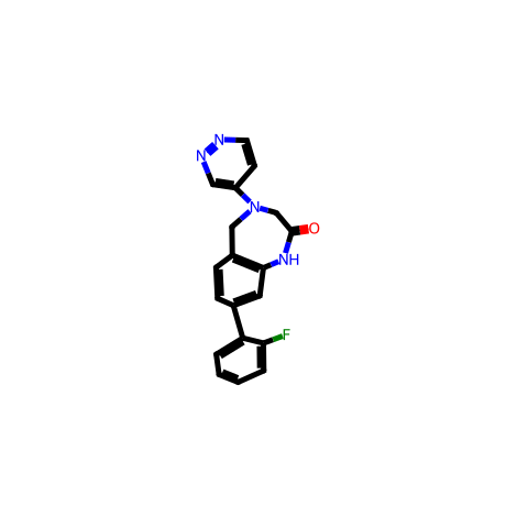 O=C1CN(c2ccnnc2)Cc2ccc(-c3ccccc3F)cc2N1